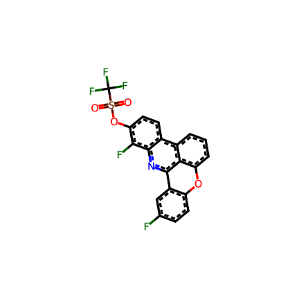 O=S(=O)(Oc1ccc2c(nc3c4c(cccc42)Oc2ccc(F)cc2-3)c1F)C(F)(F)F